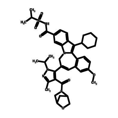 COc1ccc2c(c1)C=C(c1c(C(=O)N3CC4CC3CO4)c(C)nn1C(C)C)Cn1c-2c(C2CCCCC2)c2ccc(C(=O)NS(=O)(=O)C(C)C)cc21